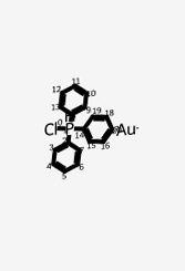 Cl[PH](c1ccccc1)(c1ccccc1)c1ccccc1.[Au]